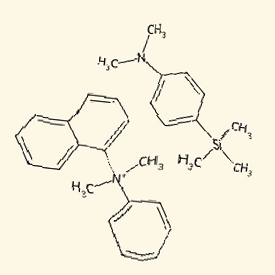 CN(C)c1ccc([Si](C)(C)C)cc1.C[N+](C)(c1ccccc1)c1cccc2ccccc12